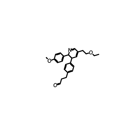 CCOCCC1=CC(c2ccc(CCC=O)cc2)C(c2ccc(OC)cc2)N=C1